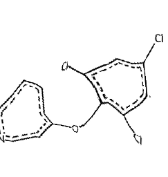 Clc1[c]c(Cl)c(Oc2cccnc2)c(Cl)c1